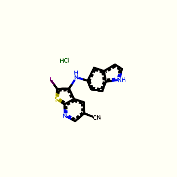 Cl.N#Cc1cnc2sc(I)c(Nc3ccc4[nH]ccc4c3)c2c1